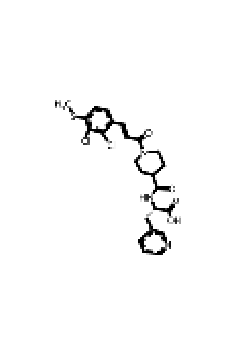 CSc1ccc(/C=C/C(=O)N2CCC(C(=O)N[C@@H](Cc3cccnc3)C(=O)O)CC2)c(Cl)c1Cl